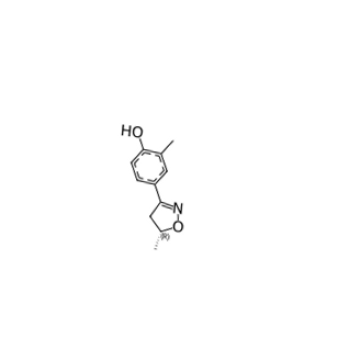 Cc1cc(C2=NO[C@H](C)C2)ccc1O